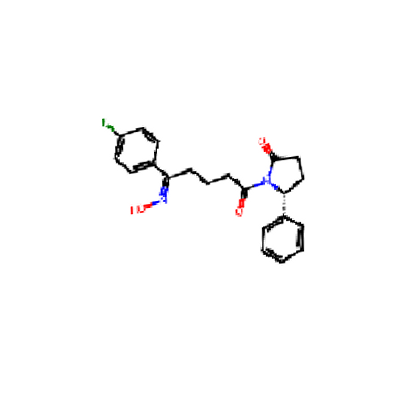 O=C(CCC/C(=N/O)c1ccc(F)cc1)N1C(=O)CC[C@@H]1c1ccccc1